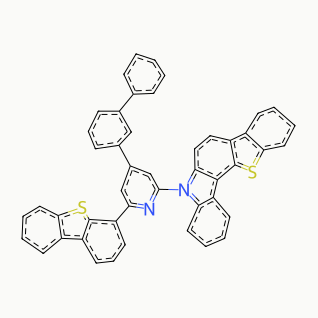 c1ccc(-c2cccc(-c3cc(-c4cccc5c4sc4ccccc45)nc(-n4c5ccccc5c5c6sc7ccccc7c6ccc54)c3)c2)cc1